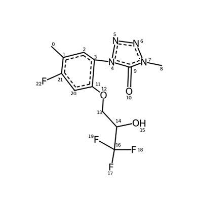 Cc1cc(-n2nnn(C)c2=O)c(OCC(O)C(F)(F)F)cc1F